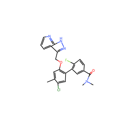 Cc1cc(OCc2n[nH]c3ncccc23)c(-c2cc(C(=O)N(C)C)ccc2F)cc1Cl